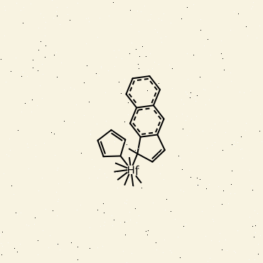 C[C]1([Hf]([CH3])([CH3])([CH3])([CH3])([CH3])([CH3])([CH3])[CH]2C=CC=C2)C=Cc2cc3ccccc3cc21